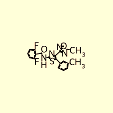 Cc1cccc(-c2sc(NC(=O)c3c(F)cccc3F)nc2-c2noc(C)n2)c1